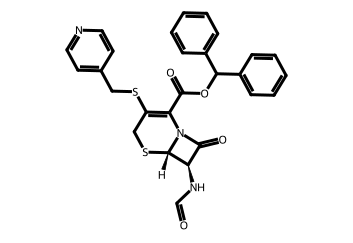 O=CN[C@@H]1C(=O)N2C(C(=O)OC(c3ccccc3)c3ccccc3)=C(SCc3ccncc3)CS[C@@H]12